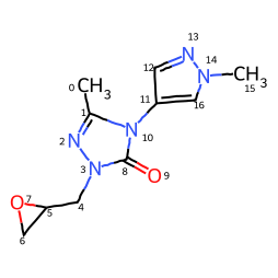 Cc1nn(CC2CO2)c(=O)n1-c1cnn(C)c1